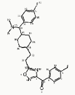 Cc1ccc(C(=O)c2noc(CCC3CCC(C(c4ccc(F)cc4)N(C)C)CC3)n2)cc1